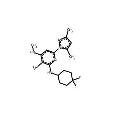 CNc1cc(-n2nc(C)cc2C)nc(NC2CCC(F)(F)CC2)c1N